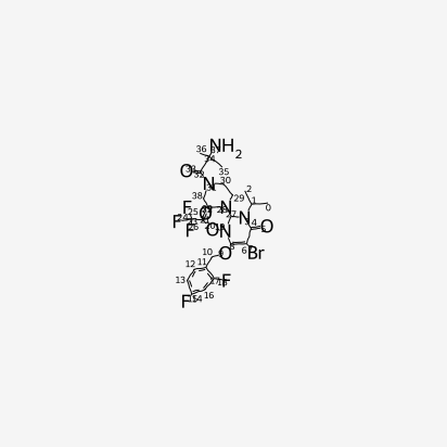 CC(C)N1C(=O)C(Br)=C(OCc2ccc(F)cc2F)N(OC(=O)C(F)(F)F)C1N1CCN(C(=O)C(C)(C)N)CC1